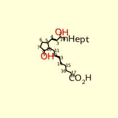 CCCCCCCC(O)C=CC1CCC(O)C1CC=CCCCCC(=O)O